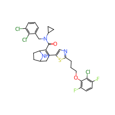 O=C(C1=C(c2cnc(CCCOc3c(F)ccc(F)c3Cl)s2)CC2CCC1N2)N(Cc1cccc(Cl)c1Cl)C1CC1